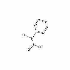 CCN(c1ccccc1)S(=O)O